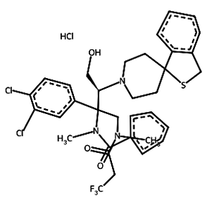 CN(CC(c1ccc(Cl)c(Cl)c1)([C@@H](CO)N1CCC2(CC1)SCc1ccccc12)N(C)C(=O)c1ccccc1)C(=O)CC(F)(F)F.Cl